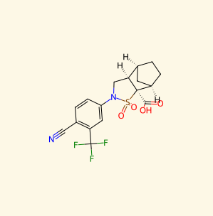 N#Cc1ccc(N2C[C@H]3[C@H]4CC[C@H](C4)[C@@]3(C(=O)O)S2(=O)=O)cc1C(F)(F)F